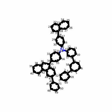 c1ccc(-c2cccc(-c3cccc(N(c4ccc(-c5cccc6ccccc56)cc4)c4ccc(-c5cc6ccccc6c6cc(-c7ccccc7)ccc56)cc4)c3)c2)cc1